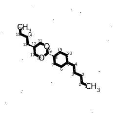 CCCCCC1CCC([C@H]2OC[C@H](CCCC)CO2)CC1